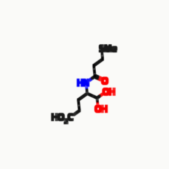 CSCCC(=O)NC(CCC(=O)O)C(O)O